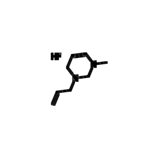 C=CCN1CC=CN(C)C1.F